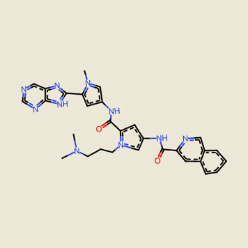 CN(C)CCCn1cc(NC(=O)c2cc3ccccc3cn2)cc1C(=O)Nc1cc(-c2nc3cncnc3[nH]2)n(C)c1